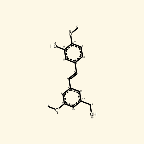 COc1cc(/C=C/c2ccc(OC)c(O)c2)cc(CO)c1